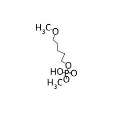 COCCCCCOP(=O)(O)OC